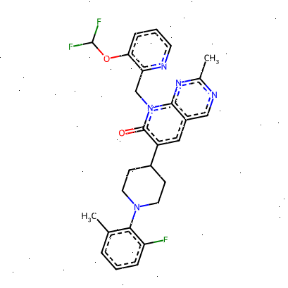 Cc1ncc2cc(C3CCN(c4c(C)cccc4F)CC3)c(=O)n(Cc3ncccc3OC(F)F)c2n1